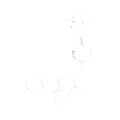 CC1(C)OB(c2ccc(Cn3ccc4c(-c5ccccc5)cncc4c3=O)cc2)OC1(C)C